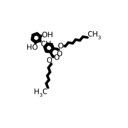 CCCCCCCCOC(=O)c1ccccc1C(=O)OCCCCCCCC.Cc1c(O)cccc1O